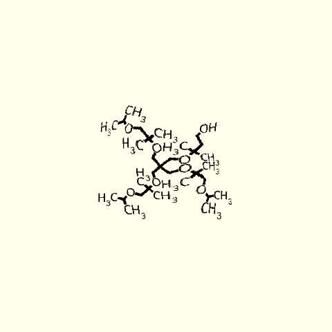 CC(C)OCC(C)(C)OCC(COC(C)(C)CCO)(COC(C)(C)COC(C)C)COC(C)(C)COC(C)C